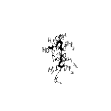 C=C1C[C@](OC)([C@H](O)C(=O)N[C@@H](OC)C2C[C@@H](O)C(C)(C)[C@@H](C[C@H](O)CO)O2)O[C@H](C)[C@@H]1C